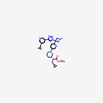 CN1CC(c2ccc(N3CCC[C@@H](N(CC4CC4)C(=O)OC(C)(C)C)C3)cn2)(n2cc(-c3cncc(C4CC4)c3)nn2)C1